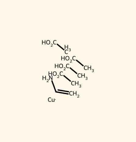 C=CN.CC(=O)O.CC(=O)O.CC(=O)O.CC(=O)O.[Cu]